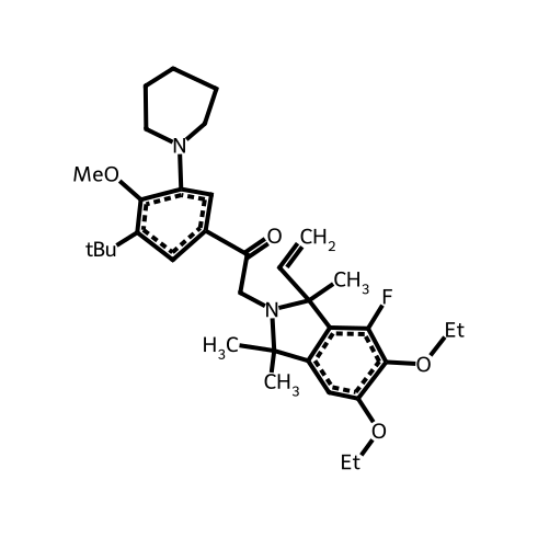 C=CC1(C)c2c(cc(OCC)c(OCC)c2F)C(C)(C)N1CC(=O)c1cc(N2CCCCC2)c(OC)c(C(C)(C)C)c1